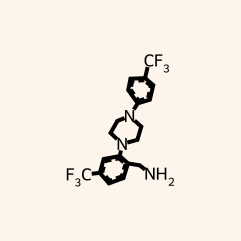 NCc1ccc(C(F)(F)F)cc1N1CCN(c2ccc(C(F)(F)F)cc2)CC1